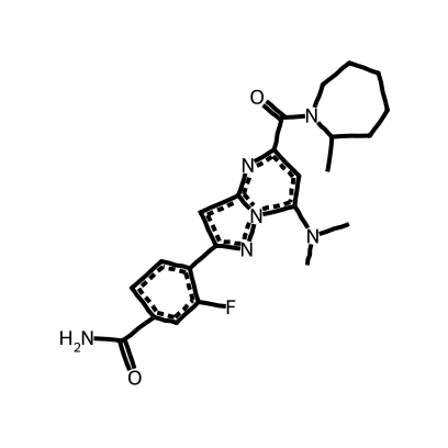 CC1CCCCCN1C(=O)c1cc(N(C)C)n2nc(-c3ccc(C(N)=O)cc3F)cc2n1